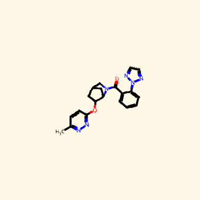 Cc1ccc(OC2CC3CC2N(C(=O)c2ccccc2-n2nccn2)C3)nn1